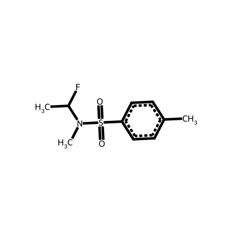 Cc1ccc(S(=O)(=O)N(C)C(C)F)cc1